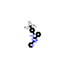 CC(C)(C)c1ccc(CNc2nc(-c3ccccn3)nnc2-c2ccccc2)cc1